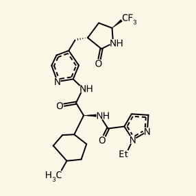 CCn1nccc1C(=O)N[C@H](C(=O)Nc1cc(C[C@@H]2C[C@@H](C(F)(F)F)NC2=O)ccn1)C1CCC(C)CC1